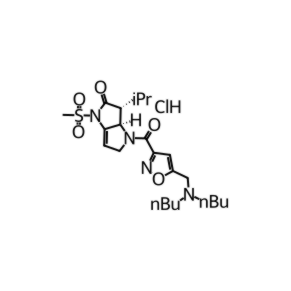 CCCCN(CCCC)Cc1cc(C(=O)N2CC=C3[C@H]2[C@@H](C(C)C)C(=O)N3S(C)(=O)=O)no1.Cl